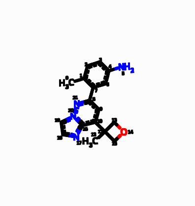 Cc1ccc(N)cc1-c1cc(C2(C)COC2)c2nccn2n1